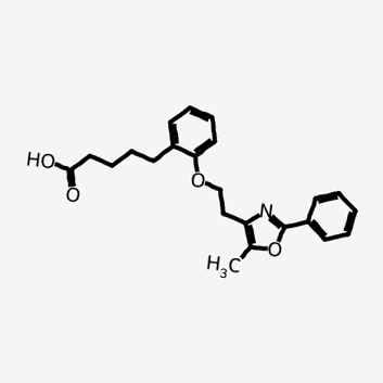 Cc1oc(-c2ccccc2)nc1CCOc1ccccc1CCCCC(=O)O